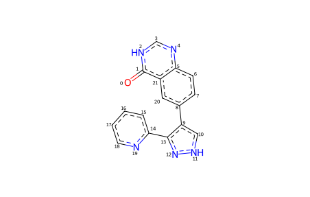 O=c1[nH]cnc2ccc(-c3c[nH]nc3-c3ccccn3)cc12